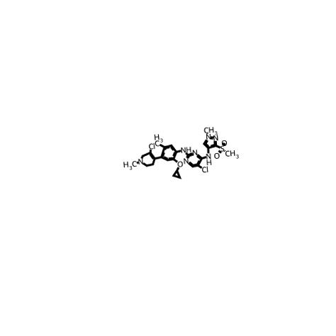 Cc1cc(Nc2ncc(Cl)c(Nc3cn(C)nc3S(C)(=O)=O)n2)c(OC2CC2)cc1C1=C(Cl)CN(C)CC1